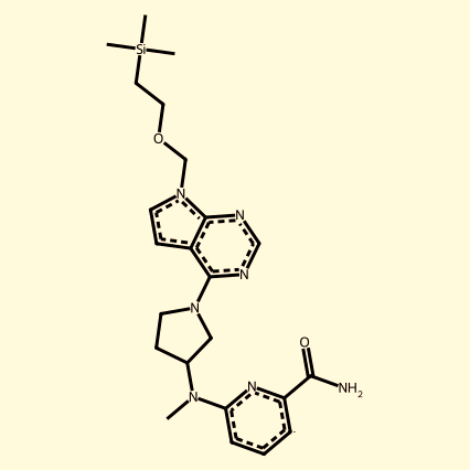 CN(c1cc[c]c(C(N)=O)n1)C1CCN(c2ncnc3c2ccn3COCC[Si](C)(C)C)C1